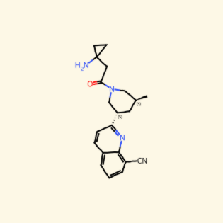 C[C@H]1C[C@H](c2ccc3cccc(C#N)c3n2)CN(C(=O)CC2(N)CC2)C1